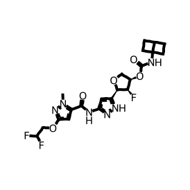 Cn1nc(OCC(F)F)cc1C(=O)Nc1cc([C@H]2OC[C@@H](OC(=O)NC34CCC3CC4)[C@H]2F)[nH]n1